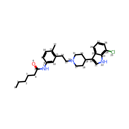 CCCCCC(=O)Nc1ccc(C)c(CCN2CCC(c3c[nH]c4c(Cl)cccc34)CC2)c1